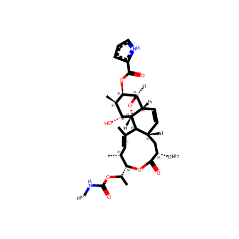 CCCNC(=O)OC(C)[C@H]1OC(=O)[C@@H](OC)C[C@H]2C=C[C@H]3[C@H]4O[C@]2(/C(C)=C/[C@H]1C)[C@@H]3[C@H](O)[C@@H](C)[C@H]4OC(=O)c1ccc[nH]1